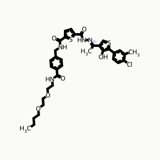 CCCCOCCOCCNC(=O)c1ccc(CNC(=O)c2ccc(C(=O)N/N=C(\C)c3csc(-c4ccc(Cl)c(C)c4)c3O)s2)cc1